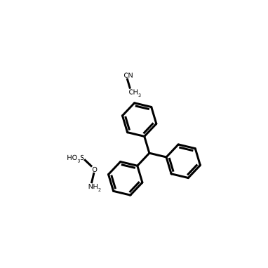 CC#N.NOS(=O)(=O)O.c1ccc(C(c2ccccc2)c2ccccc2)cc1